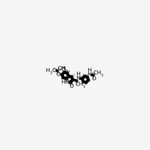 CC(=O)Nc1cccc(N[C@@H](C)c2cc3cc(Cl)c(OC(C)C)cc3[nH]c2=O)c1